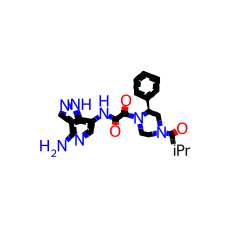 CC(C)C(=O)N1CCN(C(=O)C(=O)Nc2cnc(N)c3cn[nH]c23)[C@@H](c2ccccc2)C1